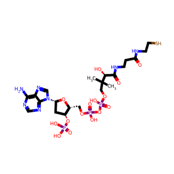 CC(C)(COP(=O)(O)OP(=O)(O)OC[C@H]1O[C@@H](n2cnc3c(N)ncnc32)C[C@H]1OP(=O)(O)O)[C@@H](O)C(=O)NCCC(=O)NCCS